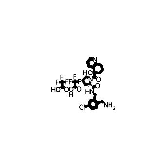 NCc1ccc(Cl)cc1CNC(=O)[C@@H]1CCCN1C(=O)C1(O)CCCc2ncccc21.O=C(O)C(F)(F)F.O=C(O)C(F)(F)F